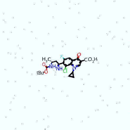 C[C@H](CC(=N)c1c(F)cc2c(=O)c(C(=O)O)cn(C3CC3)c2c1Cl)NC(=O)OC(C)(C)C